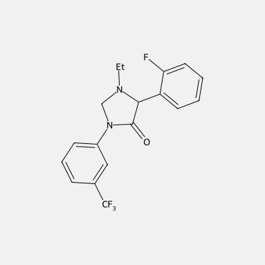 CCN1CN(c2cccc(C(F)(F)F)c2)C(=O)C1c1ccccc1F